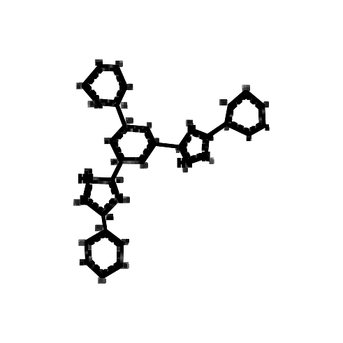 c1ccc(-c2n[nH]c(-c3cc(-c4ccccn4)cc(-c4nc(-c5ccccc5)n[nH]4)c3)n2)cc1